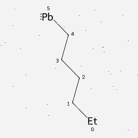 CCCCC[CH2][Pb]